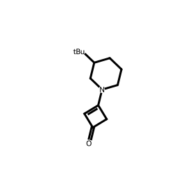 CC(C)(C)C1CCCN(C2=CC(=O)C2)C1